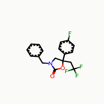 O=C1OC(CC(F)(F)F)(c2ccc(F)cc2)CN1Cc1ccccc1